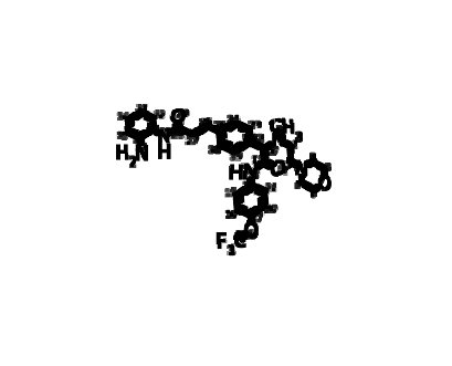 CN(CCN1CCOCC1)C(C(=O)Nc1ccc(OC(F)(F)F)cc1)c1ccc(/C=C/C(=O)Nc2ccccc2N)cc1